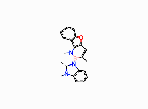 CC1=Cc2oc3ccccc3c2N(C)B1N1c2ccccc2N(C)[C@@H]1C